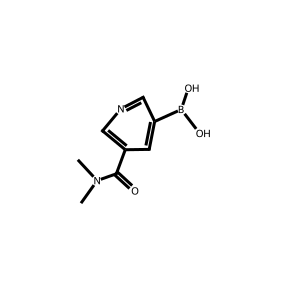 CN(C)C(=O)c1cncc(B(O)O)c1